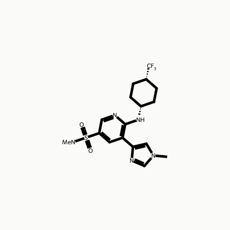 CNS(=O)(=O)c1cnc(N[C@H]2CC[C@@H](C(F)(F)F)CC2)c(-c2cn(C)cn2)c1